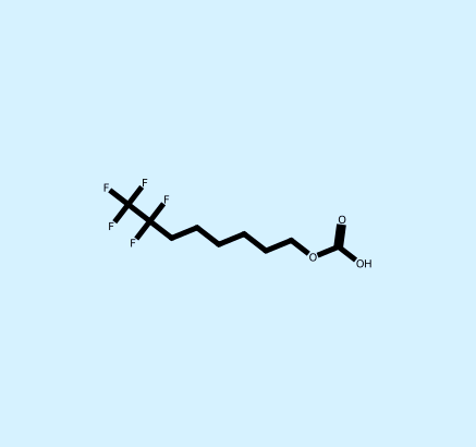 O=C(O)OCCCCCCC(F)(F)C(F)(F)F